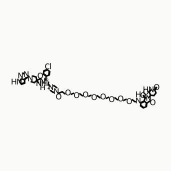 NC1(C(=O)N[C@@H](CCN2CCN(C(=O)CCOCCOCCOCCOCCOCCOCCOCCOCCNc3cccc4c3C(=O)N(C3CCC(=O)NC3=O)C4=O)CC2)c2ccc(Cl)cc2)CCN(c2ncnc3[nH]ccc23)CC1